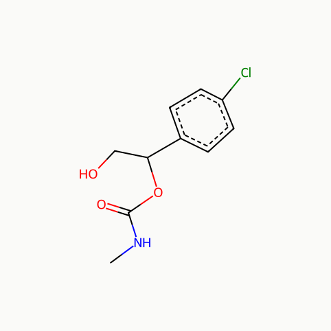 CNC(=O)OC(CO)c1ccc(Cl)cc1